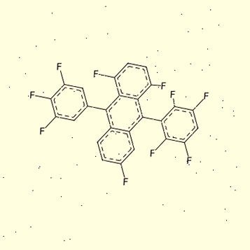 Fc1ccc2c(-c3cc(F)c(F)c(F)c3)c3c(F)ccc(F)c3c(-c3c(F)c(F)cc(F)c3F)c2c1